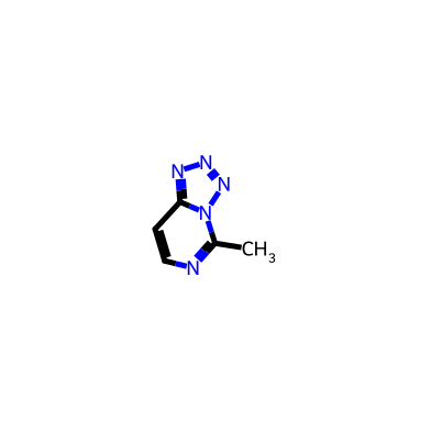 Cc1nccc2nnnn12